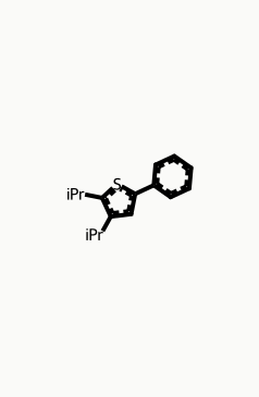 CC(C)c1cc(-c2ccccc2)sc1C(C)C